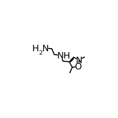 CC1ON(C)C=C1CNCCN